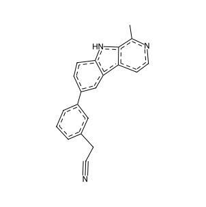 Cc1nccc2c1[nH]c1ccc(-c3cccc(CC#N)c3)cc12